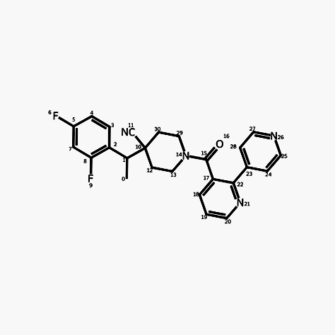 CC(c1ccc(F)cc1F)C1(C#N)CCN(C(=O)c2cccnc2-c2ccncc2)CC1